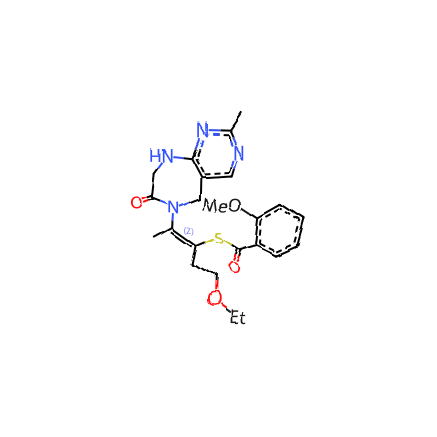 CCOCC/C(SC(=O)c1ccccc1OC)=C(\C)N1Cc2cnc(C)nc2NCC1=O